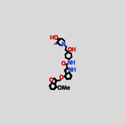 COc1cccc2occ(COc3cccc4[nH]c(C(=O)N[C@H]5CC[C@](O)(CCN6CC[C@H](O)[C@@H](C)C6)CC5)cc34)c12